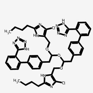 CCCCc1nc(Cl)c(COC(Cc2ccc(-c3ccccc3-c3nnn[nH]3)cc2)OC(Cc2ccc(-c3ccccc3-c3nnn[nH]3)cc2)OCc2[nH]c(CCCC)nc2Cl)[nH]1